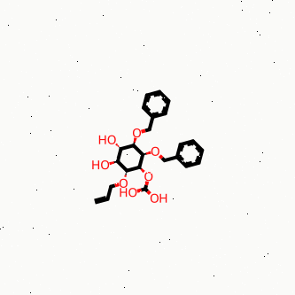 C=CCO[C@@H]1[C@@H](O)[C@H](O)[C@@H](OCc2ccccc2)[C@@H](OCc2ccccc2)[C@H]1OC(O)O